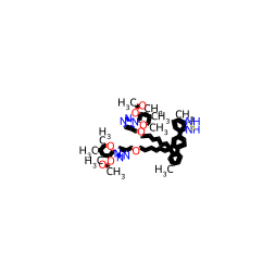 CC(=O)OC1C(C)C(C)C(C)OC1n1cc(COCCCCCCC2(CCCCCCOCc3cnnn3C3OC(C)C(C)C(C)C3OC(C)=O)c3cc(C)ccc3-c3ccc(-c4ccc(C)c5c4NSN5)cc32)nn1